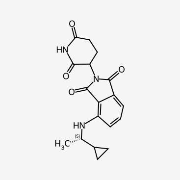 C[C@H](Nc1cccc2c1C(=O)N(C1CCC(=O)NC1=O)C2=O)C1CC1